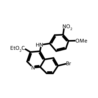 CCOC(=O)c1cnc2ccc(Br)cc2c1Nc1ccc(OC)c([N+](=O)[O-])c1